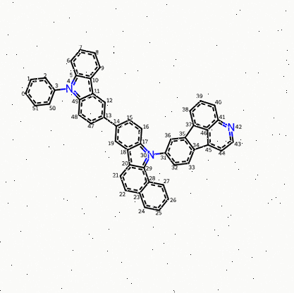 c1ccc(-n2c3ccccc3c3cc(-c4ccc5c(c4)c4ccc6ccccc6c4n5-c4ccc5c(c4)-c4cccc6nccc-5c46)ccc32)cc1